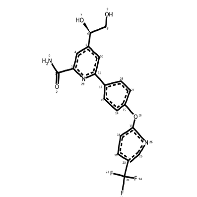 NC(=O)c1cc([C@@H](O)CO)cc(-c2ccc(Oc3ccc(C(F)(F)F)cn3)cc2)n1